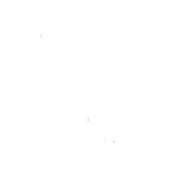 CNNC(C)(C)CC(C)c1ccc(C)cc1